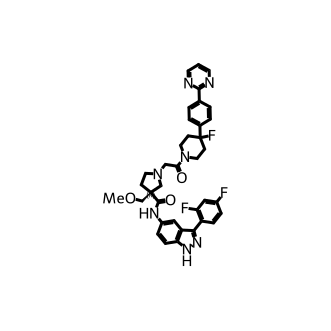 COC[C@@]1(C(=O)Nc2ccc3[nH]nc(-c4ccc(F)cc4F)c3c2)CCN(CC(=O)N2CCC(F)(c3ccc(-c4ncccn4)cc3)CC2)C1